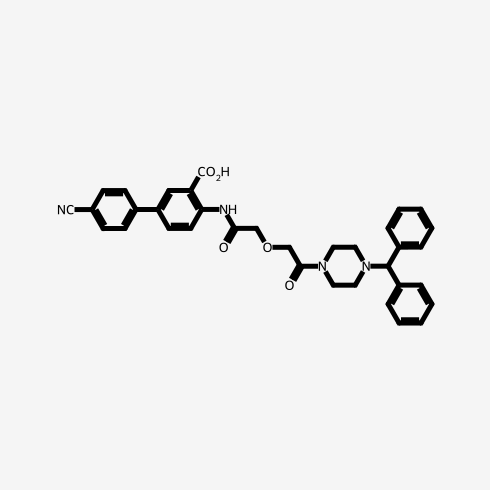 N#Cc1ccc(-c2ccc(NC(=O)COCC(=O)N3CCN(C(c4ccccc4)c4ccccc4)CC3)c(C(=O)O)c2)cc1